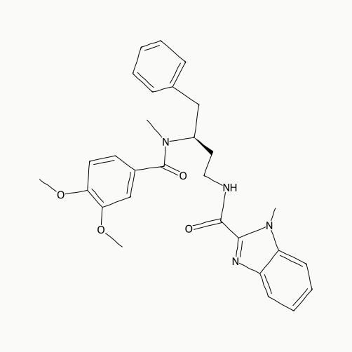 COc1ccc(C(=O)N(C)[C@H](CCNC(=O)c2nc3ccccc3n2C)Cc2ccccc2)cc1OC